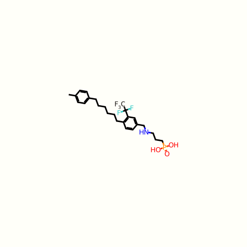 Cc1ccc(CCCCCCc2ccc(CNCCCP(=O)(O)O)cc2C(F)(F)C(F)(F)F)cc1